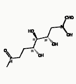 C[PH](=O)CC[C@@H](O)[C@@H](O)[C@@H](O)CN(O)C=O